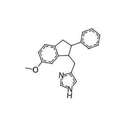 COc1ccc2c(c1)C(Cc1c[nH]cn1)C(c1ccccc1)C2